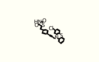 O=C1NC(=O)C(=Cc2ccc(C#CCN3c4ccccc4Sc4ccc(Cl)cc43)cc2)S1